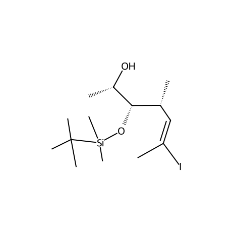 C/C(I)=C\[C@@H](C)[C@H](O[Si](C)(C)C(C)(C)C)[C@H](C)O